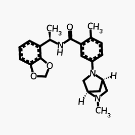 Cc1ccc(N2C[C@H]3C[C@@H]2CN3C)cc1C(=O)N[C@H](C)c1cccc2c1OCO2